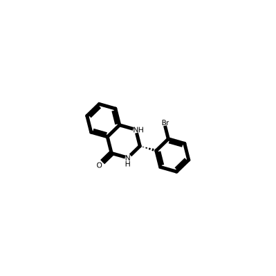 O=C1N[C@@H](c2ccccc2Br)Nc2ccccc21